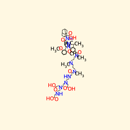 COc1cccc(OC)c1-c1cc(C(=O)NC2(C(=O)O)C3CC4CC(C3)CC2C4)nn1-c1ccc(C(=O)N(C)CCCN(C)CCCN(C)C(=O)CNCCN(CCN(CCNCC(=O)O)CC(=O)O)CC(=O)O)cc1C(C)C